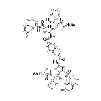 CN[C@@H](C)C(=O)N[C@H](C(=O)N1C[C@@H](NC(=O)c2ccc3cc(C(=O)N[C@H]4C[C@@H](C(=O)N[C@@H]5CCCc6ccc(F)cc65)N(C(=O)[C@@H](NC(=O)[C@H](C)NC)C5CCCCC5)C4)ccc3c2)C[C@H]1C(=O)N[C@@H]1CCCc2ccc(F)cc21)C1CCCCC1